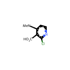 CNc1ccnc(Cl)c1C(=O)O